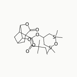 CCC(C)(C)C(=O)OC1C2CC3C1OC(=O)C3(C(=O)OC1C[Si](C)(C)O[Si](C)(C)C1)C2